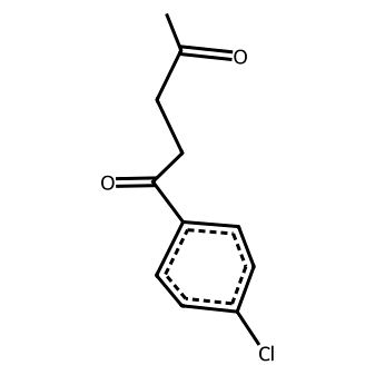 CC(=O)CCC(=O)c1ccc(Cl)cc1